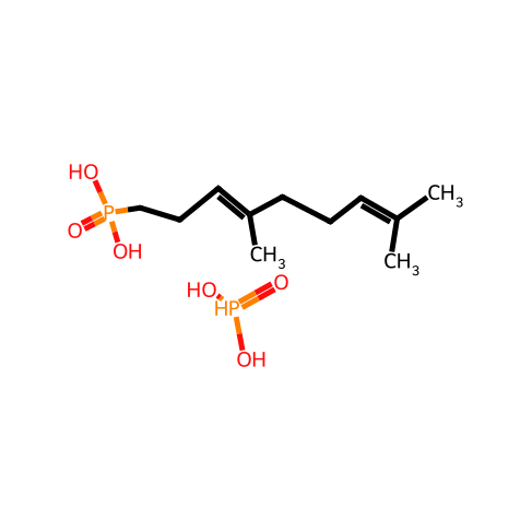 CC(C)=CCC/C(C)=C/CCP(=O)(O)O.O=[PH](O)O